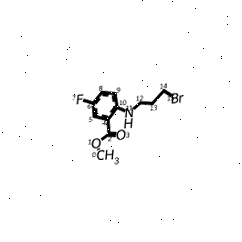 COC(=O)c1cc(F)ccc1NCCCBr